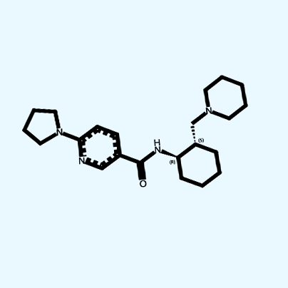 O=C(N[C@@H]1CCCC[C@H]1CN1CCCCC1)c1ccc(N2CCCC2)nc1